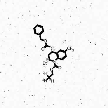 [2H]C([2H])([2H])COC(=O)N1c2ccc(C(F)(F)F)cc2[C@@H](NC(=O)OCc2ccccc2)C[C@H]1CC